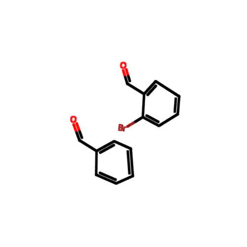 O=Cc1ccccc1.O=Cc1ccccc1Br